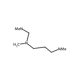 CNCCCN(C)CNC